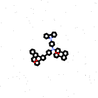 c1ccc(-c2ccc(-c3ccc(N(c4ccc(-c5cccc6cccc(-c7ccccc7)c56)cc4)c4ccc(-n5c6ccccc6c6ccccc65)cc4)cc3)cc2-c2cc3ccccc3c3ccccc23)cc1